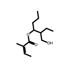 CC=C(C)C(=O)OC(CCC)C(CC)CO